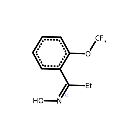 CC/C(=N/O)c1ccccc1OC(F)(F)F